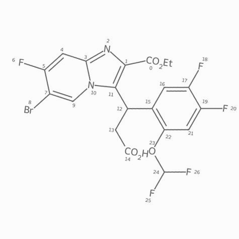 CCOC(=O)c1nc2cc(F)c(Br)cn2c1C(CC(=O)O)c1cc(F)c(F)cc1OC(F)F